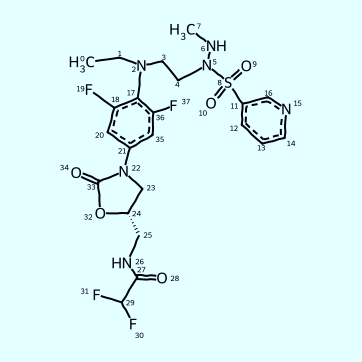 CCN(CCN(NC)S(=O)(=O)c1cccnc1)c1c(F)cc(N2C[C@H](CNC(=O)C(F)F)OC2=O)cc1F